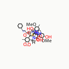 COc1cc2c(cc1O)CCN[C@]21CS[C@@H]2c3c(OC(=O)/C=C/c4ccccc4)c(C)c4c(c3[C@H](COC1=O)N1C2[C@@H]2NC(Cc3cc(C)c(OC)c(O)c32)[C@@H]1O)OCO4